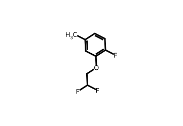 Cc1ccc(F)c(OCC(F)F)c1